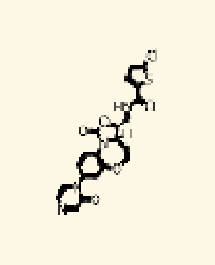 O=C(NC[C@@H]1OC(=O)N2c3ccc(-n4ccncc4=O)cc3OCC[C@@H]12)c1ccc(Cl)s1